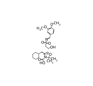 COc1ccc(C=NS(=O)(=O)CC(O)[C@@H]2OC(C)(C)N(C(=O)O)[C@H]2CC2CCCCC2)cc1OC